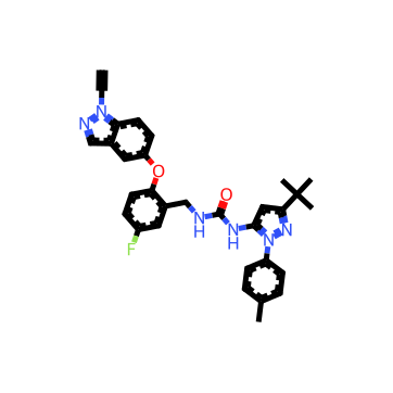 C#Cn1ncc2cc(Oc3ccc(F)cc3CNC(=O)Nc3cc(C(C)(C)C)nn3-c3ccc(C)cc3)ccc21